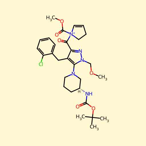 COCn1nc(C(=O)[N+]2(C(=O)OC)C=CCC2)c(Cc2ccccc2Cl)c1N1CCC[C@@H](NC(=O)OC(C)(C)C)C1